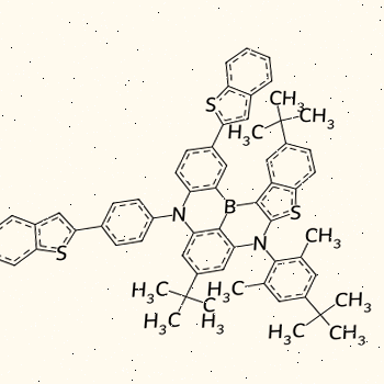 Cc1cc(C(C)(C)C)cc(C)c1N1c2cc(C(C)(C)C)cc3c2B(c2cc(-c4cc5ccccc5s4)ccc2N3c2ccc(-c3cc4ccccc4s3)cc2)c2c1sc1ccc(C(C)(C)C)cc21